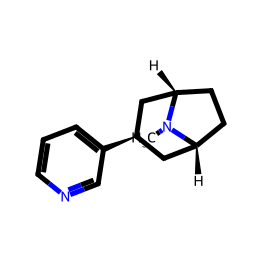 CN1[C@@H]2CC[C@H]1C[C@H](c1cccnc1)C2